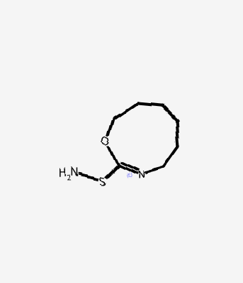 NS/C1=N/CCCCCCO1